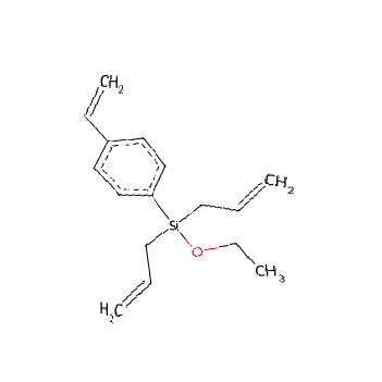 C=CC[Si](CC=C)(OCC)c1ccc(C=C)cc1